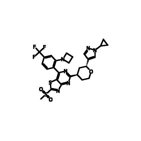 CS(=O)(=O)c1nc2nc([C@@H]3CCO[C@@H](c4cnn(C5CC5)c4)C3)nc(-c3ccc(C(F)(F)F)cc3N3CCC3)c2s1